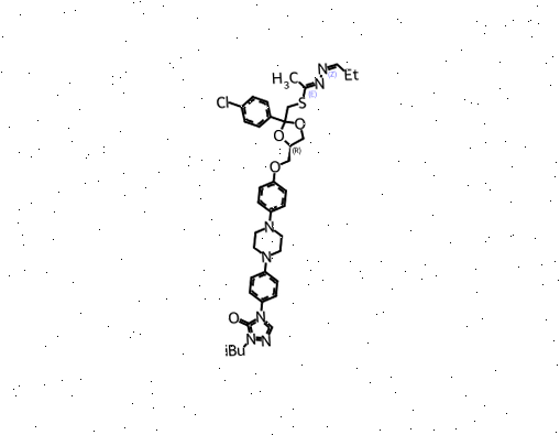 CC/C=N\N=C(/C)SCC1(c2ccc(Cl)cc2)OC[C@@H](COc2ccc(N3CCN(c4ccc(-n5cnn(C(C)CC)c5=O)cc4)CC3)cc2)O1